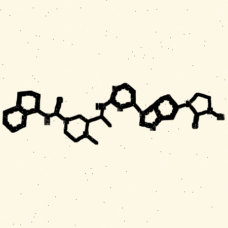 CCN1CCN(c2ccc3c(c2)ncn3-c2ccnc(NC(C)C3CN(C(=O)Nc4cccc5ccccc45)CCN3C)n2)C1=O